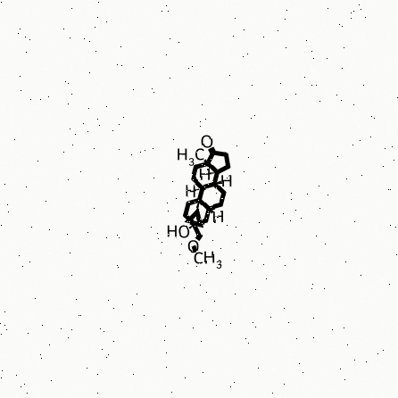 COC[C@@]1(O)CC[C@@]2(C3CC3)[C@H](CC[C@@H]3[C@@H]2CC[C@]2(C)C(=O)CC[C@@H]32)C1